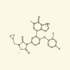 C[C@H]1C(=O)N(c2ccc(Oc3ccc(F)cc3F)c(-c3cn(C)c(=O)c4[nH]ccc34)c2)C(=O)N1CC1CC1